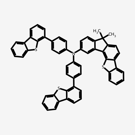 CC1(C)c2ccc(N(c3ccc(-c4cccc5c4sc4ccccc45)cc3)c3ccc(-c4cccc5c4sc4ccccc45)cc3)cc2-c2c1ccc1c2sc2ccccc21